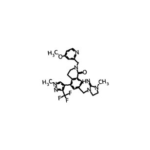 COc1ccnc(CN2CCc3c(cc(CN4CCN(C)C4=N)cc3-c3cn(C)nc3C(F)(F)F)C2=O)c1